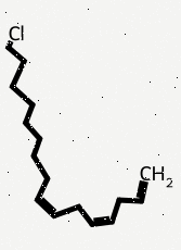 C=CC/C=C\C/C=C\CCCCCCCCCl